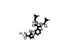 NC(=O)c1ccn(C2CCc3sc(NC(=O)C4CC4)c(C(=O)NCC4CC4)c3C2)c1N